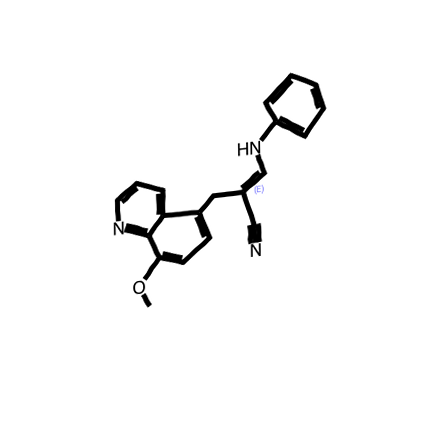 COc1ccc(C/C(C#N)=C\Nc2ccccc2)c2cccnc12